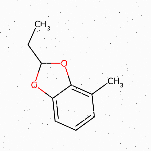 CCC1Oc2cccc(C)c2O1